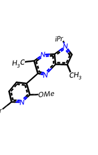 COc1nc(C(C)C)ccc1-c1nc2c(C)cn(C(C)C)c2nc1C